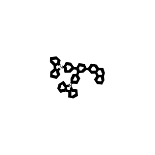 c1ccc2c(c1)ccc1ccc(-c3ccc(-c4ccc(-n5c6ccccc6c6ccccc65)cc4)c(-c4ccc(-n5c6ccccc6c6ccccc65)cc4)c3)cc12